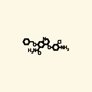 NC(=O)c1cc2c(Oc3ccc(N)c(Cl)c3)ccnc2cc1OCc1ccccc1